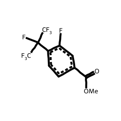 COC(=O)c1ccc(C(F)(C(F)(F)F)C(F)(F)F)c(F)c1